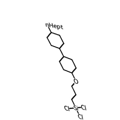 CCCCCCCC1CCC(C2CCC(OCCC[Si](Cl)(Cl)Cl)CC2)CC1